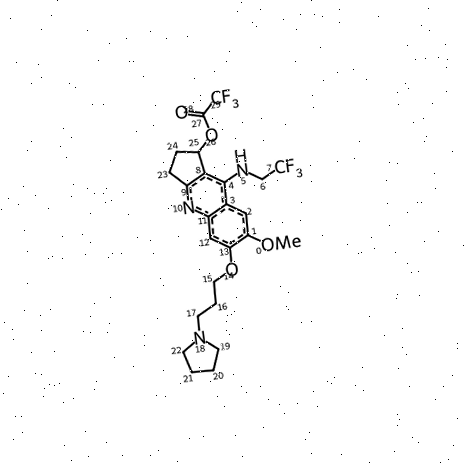 COc1cc2c(NCC(F)(F)F)c3c(nc2cc1OCCCN1CCCC1)CCC3OC(=O)C(F)(F)F